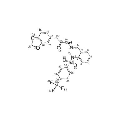 CN(c1ccccc1C=NNC(=O)Cc1ccc2c(c1)OCO2)S(=O)(=O)c1ccc(C(F)(F)F)cc1